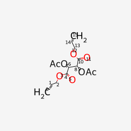 C=CCOC(=O)C(OC(C)=O)C(OC(C)=O)C(=O)OCC=C